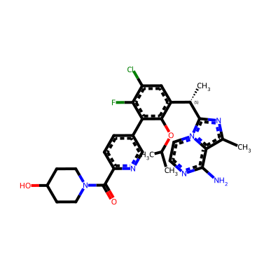 Cc1nc([C@@H](C)c2cc(Cl)c(F)c(-c3ccc(C(=O)N4CCC(O)CC4)nc3)c2OC(C)C)n2ccnc(N)c12